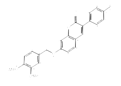 COc1ccc(COc2ccc3cc(-c4ccc(Br)cc4)c(=O)oc3c2)cc1OC